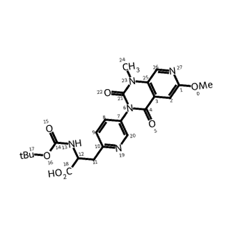 COc1cc2c(=O)n(-c3ccc(CC(NC(=O)OC(C)(C)C)C(=O)O)nc3)c(=O)n(C)c2cn1